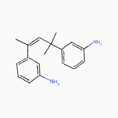 CC(=CC(C)(C)c1cccc(N)c1)c1cccc(N)c1